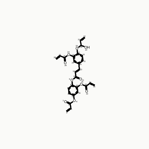 C=CC(=O)Oc1ccc(OC(=O)/C=C/c2ccc(OC(O)C=C)c(OC(=O)C=C)c2)c(OC(=O)C=C)c1